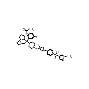 Cn1cc(S(=O)(=O)c2ccc(N3CC(F)(CN4CCC([C@@](CN5CCC5)(c5cccc(F)c5)[C@H]5CCC[C@@H]5OC(N)=O)CC4)C3)cc2)cn1